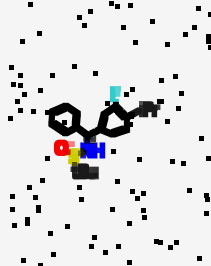 CC(C)c1ccc([C@@H](N[S+]([O-])C(C)(C)C)c2ccccc2)cc1F